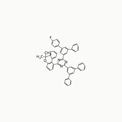 CC1(C)Oc2cccc(-c3nc(-c4cc(-c5ccccc5)cc(-c5ccccc5)c4)nc(-c4cc(-c5ccccc5)cc(-c5ccc(F)cc5)c4)n3)c2-c2ccccc21